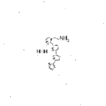 I.I.NCCc1ccsc1-c1ccc(-c2ccc(-c3cccs3)s2)s1